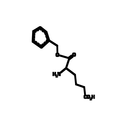 NC(CCCC(=O)O)C(=O)OCc1ccccc1